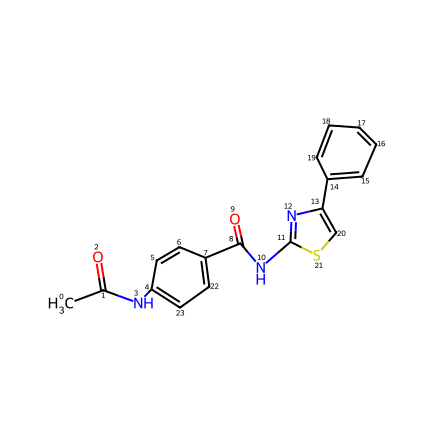 CC(=O)Nc1ccc(C(=O)Nc2nc(-c3ccccc3)cs2)cc1